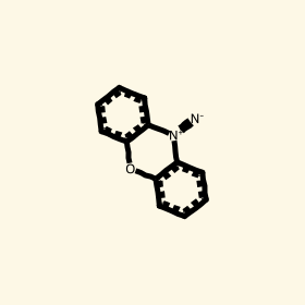 [N-]=[N+]1c2ccccc2Oc2ccccc21